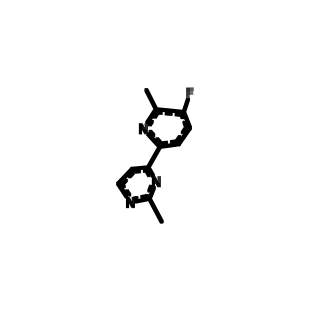 Cc1nccc(-c2ccc(F)c(C)n2)n1